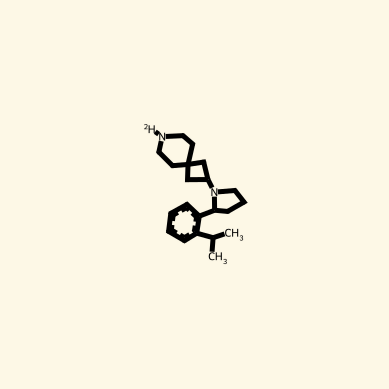 [2H]N1CCC2(CC1)CC(N1CCCC1c1ccccc1C(C)C)C2